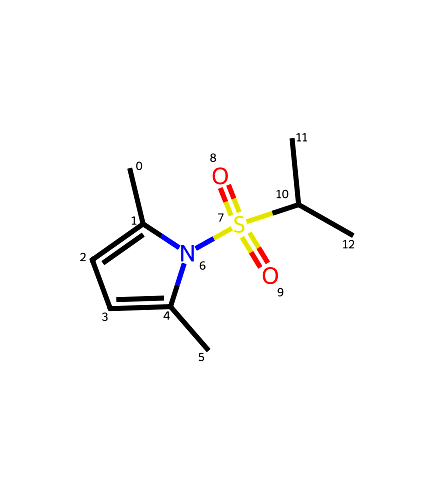 Cc1ccc(C)n1S(=O)(=O)C(C)C